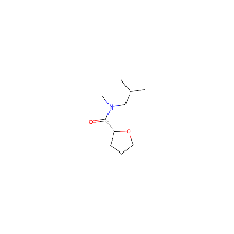 CC(C)CN(C)C(=O)[C@H]1CCCO1